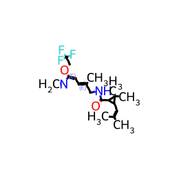 C=N/C(=C\C=C(/C)CNC(=O)C1C(C=C(C)C)C1(C)C)OCC(F)(F)F